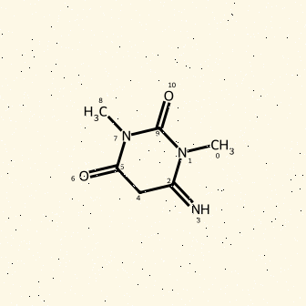 CN1C(=N)CC(=O)N(C)C1=O